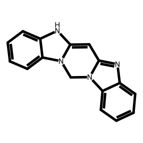 C1=C2Nc3ccccc3N2Cn2c1nc1ccccc12